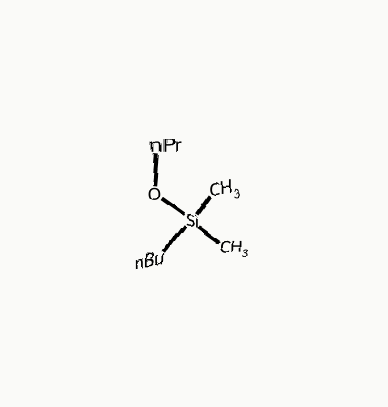 CCCC[Si](C)(C)OCCC